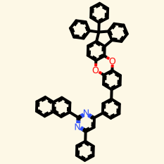 c1ccc(-c2cc(-c3cccc(-c4ccc5c(c4)Oc4ccc6c(c4O5)-c4ccccc4C6(c4ccccc4)c4ccccc4)c3)nc(-c3ccc4ccccc4c3)n2)cc1